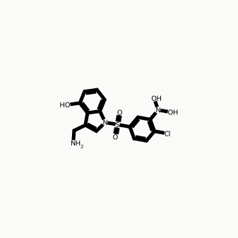 NCc1cn(S(=O)(=O)c2ccc(Cl)c(N(O)O)c2)c2cccc(O)c12